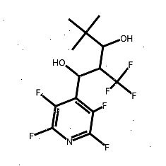 CC(C)(C)C(O)C(C(O)c1c(F)c(F)nc(F)c1F)C(F)(F)F